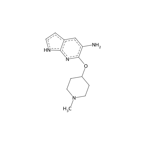 CN1CCC(Oc2nc3[nH]ccc3cc2N)CC1